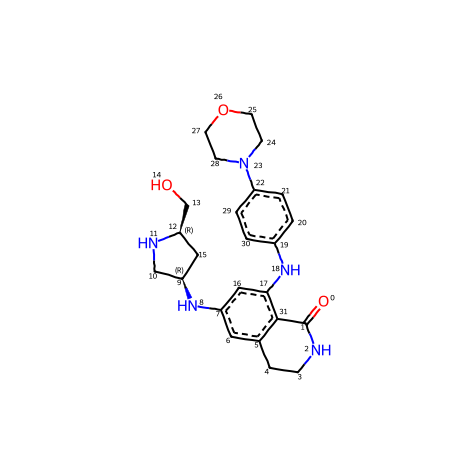 O=C1NCCc2cc(N[C@H]3CN[C@@H](CO)C3)cc(Nc3ccc(N4CCOCC4)cc3)c21